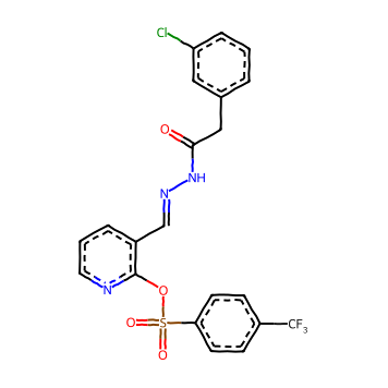 O=C(Cc1cccc(Cl)c1)NN=Cc1cccnc1OS(=O)(=O)c1ccc(C(F)(F)F)cc1